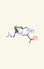 CC(=O)C1Cn2c(ccc2CN(C)C)CN1